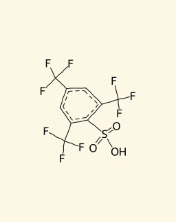 O=S(=O)(O)c1c(C(F)(F)F)cc(C(F)(F)F)cc1C(F)(F)F